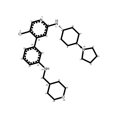 Clc1cnc(N[C@H]2CC[C@H](N3CCCC3)CC2)cc1-c1cccc(NCC2CCOCC2)c1